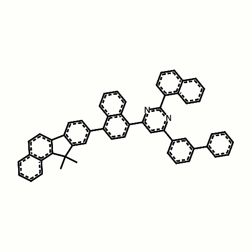 CC1(C)c2cc(-c3ccc(-c4cc(-c5cccc(-c6ccccc6)c5)nc(-c5cccc6ccccc56)n4)c4ccccc34)ccc2-c2ccc3ccccc3c21